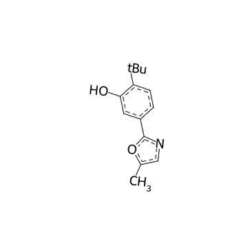 Cc1cnc(-c2ccc(C(C)(C)C)c(O)c2)o1